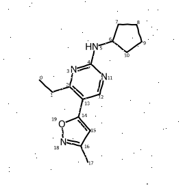 CCc1nc(NC2CCCC2)ncc1-c1cc(C)no1